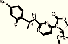 CC(C)c1ccc([C@H](C)Nc2nccc(N3C(=O)OC[C@@H]3[C@@H](C)OC(C)(C)C)n2)c(F)c1